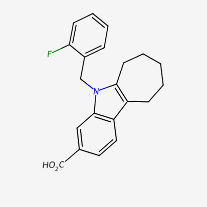 O=C(O)c1ccc2c3c(n(Cc4ccccc4F)c2c1)CCCCC3